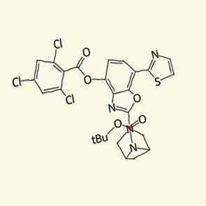 CC(C)(C)OC(=O)N1C2CC1CN(c1nc3c(OC(=O)c4c(Cl)cc(Cl)cc4Cl)ccc(-c4nccs4)c3o1)C2